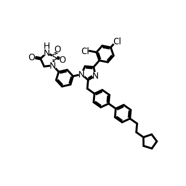 O=C1CN(c2cccc(-n3cc(-c4ccc(Cl)cc4Cl)nc3Cc3ccc(-c4ccc(CCC5CCCC5)cc4)cc3)c2)S(=O)(=O)N1